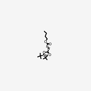 CCCCOC(=O)N=NC(=O)O[SiH](C(C)(C)C)C(C)(C)C